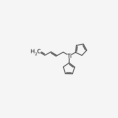 C=CC=C[CH2][Ti]([C]1=CC=CC1)[C]1=CC=CC1